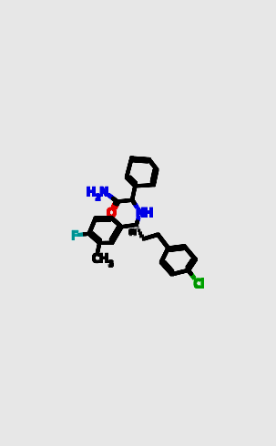 Cc1cc([C@@H](CCc2ccc(Cl)cc2)NC(C(N)=O)c2ccccc2)ccc1F